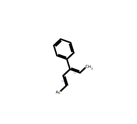 C/C=C(/C=C/C(C)=O)c1ccccc1